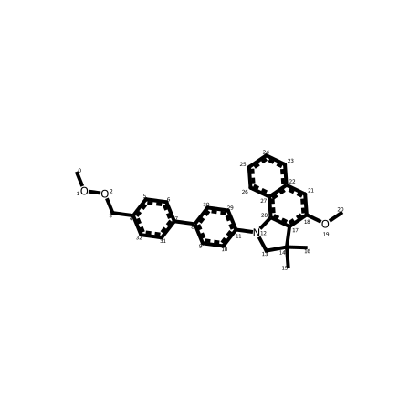 COOCc1ccc(-c2ccc(N3CC(C)(C)c4c(OC)cc5ccccc5c43)cc2)cc1